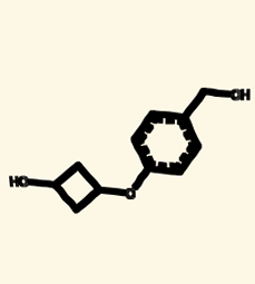 OCc1ccc(OC2CC(O)C2)cc1